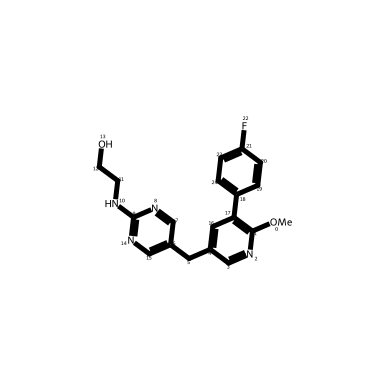 COc1ncc(Cc2cnc(NCCO)nc2)cc1-c1ccc(F)cc1